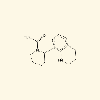 NC(=O)N1CCCCC1c1ccnc2c1NCCC2